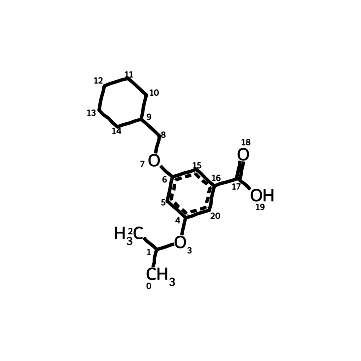 CC(C)Oc1cc(OCC2CCCCC2)cc(C(=O)O)c1